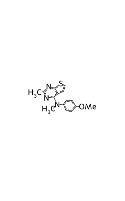 COc1ccc(N(C)c2nc(C)nc3sccc23)cc1